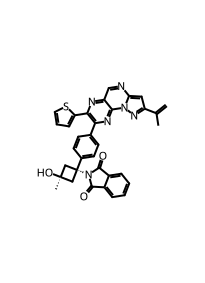 C=C(C)c1cc2ncc3nc(-c4cccs4)c(-c4ccc([C@]5(N6C(=O)c7ccccc7C6=O)C[C@](C)(O)C5)cc4)nc3n2n1